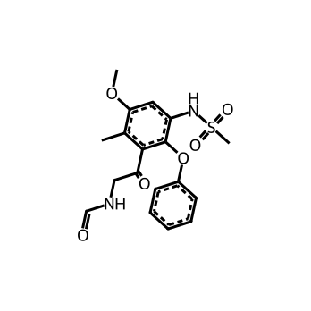 COc1cc(NS(C)(=O)=O)c(Oc2ccccc2)c(C(=O)CNC=O)c1C